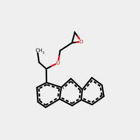 CCC(OCC1CO1)c1cccc2cc3ccccc3cc12